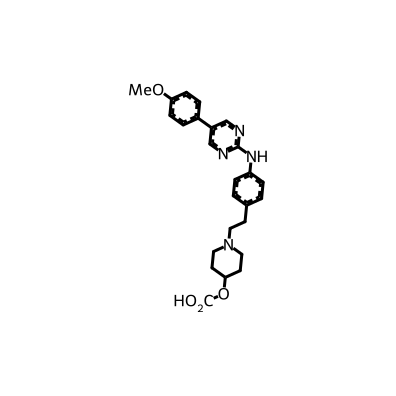 COc1ccc(-c2cnc(Nc3ccc(CCN4CCC(OC(=O)O)CC4)cc3)nc2)cc1